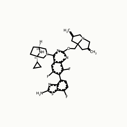 C=C1CN2CC(=C)CC2(COc2nc(N3C[C@@H]4CC[C@](C5CC5)(C3)N4)c3cc(F)c(-c4ccc(F)c5sc(N)nc45)c(F)c3n2)C1